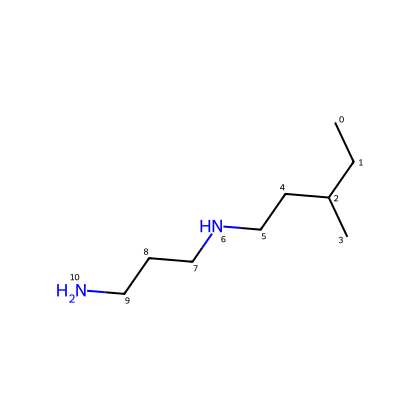 CCC(C)CCNCCCN